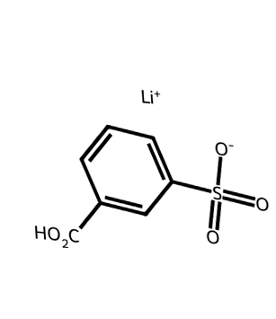 O=C(O)c1cccc(S(=O)(=O)[O-])c1.[Li+]